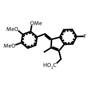 COc1ccc(C=C2C(C)=C(CC(=O)O)c3cc(F)ccc32)c(OC)c1OC